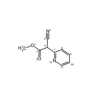 COC(=O)C(C#N)c1[c]cccn1